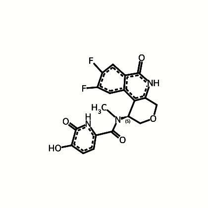 CN(C(=O)c1ccc(O)c(=O)[nH]1)[C@@H]1COCc2[nH]c(=O)c3cc(F)c(F)cc3c21